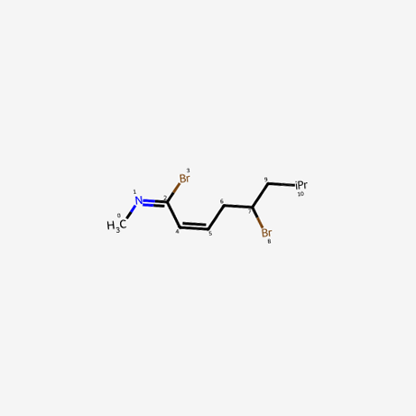 C/N=C(Br)\C=C/CC(Br)CC(C)C